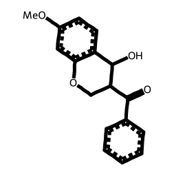 COc1ccc2c(c1)OCC(C(=O)c1ccccc1)C2O